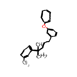 CC(C)(C=CCc1cccc(Oc2ccccc2)c1)c1cccc(C(F)(F)F)c1